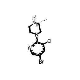 C[C@@H]1CN(c2ncc(Br)cc2Cl)CCN1